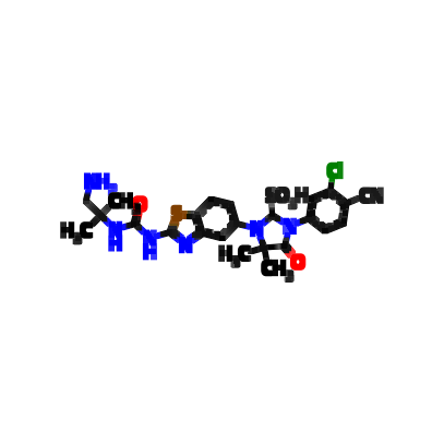 CC(C)(CN)NC(=O)Nc1nc2cc(N3C(S(=O)(=O)O)N(c4ccc(C#N)c(Cl)c4)C(=O)C3(C)C)ccc2s1